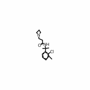 Cc1cccc(C(C)(C)NC(=O)CCN2CCC2)c1Cl